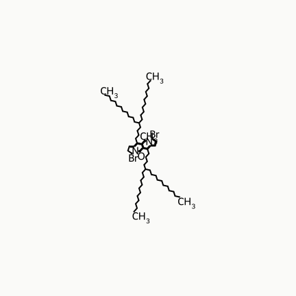 C=c1c2c(CCCCC(CCCCCCCCCCCC)CCCCCCCCCCCC)c3n(c(=O)c2c(CCCCC(CCCCCCCCCCCC)CCCCCCCCCCCC)c2ccc(Br)n12)C(Br)CC=3